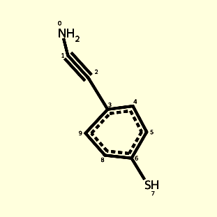 NC#Cc1ccc(S)cc1